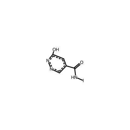 O=C(NI)c1cnnc(O)c1